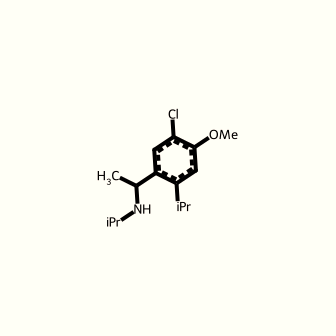 COc1cc(C(C)C)c(C(C)NC(C)C)cc1Cl